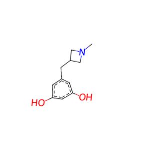 CN1CC(Cc2cc(O)cc(O)c2)C1